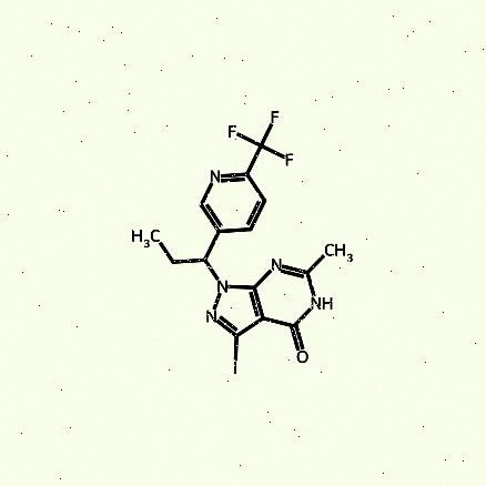 CCC(c1ccc(C(F)(F)F)nc1)n1nc(I)c2c(=O)[nH]c(C)nc21